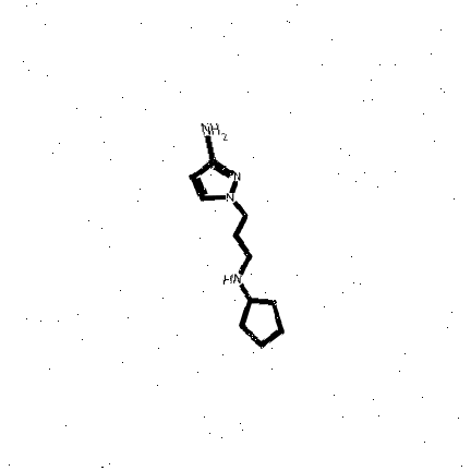 Nc1ccn(CCCNC2CCCC2)n1